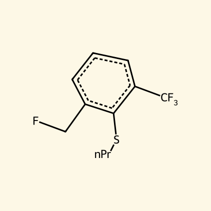 CCCSc1c(CF)cccc1C(F)(F)F